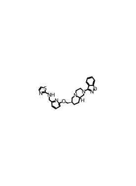 c1cc(CNc2nccs2)nc(OC[C@@H]2CC[C@H]3CN(c4noc5ccccc45)CCN3C2)c1